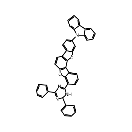 c1ccc(C2=NC(c3ccccc3)NC(c3cccc4c3oc3ccc5c6ccc(-n7c8ccccc8c8ccccc87)cc6sc5c34)=N2)cc1